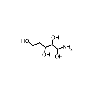 NC(O)C(O)C(O)CCO